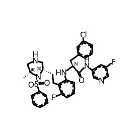 C[C@@H]1CNC[C@H](CCc2c(F)cccc2N[C@@H](Cc2cccc(Cl)c2)C(=O)Nc2cncc(F)c2)N1S(=O)(=O)c1ccccc1